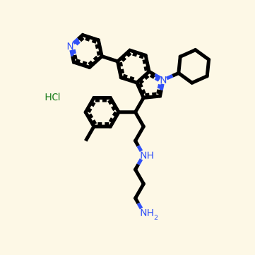 Cc1cccc(C(CCNCCCN)c2cn(C3CCCCC3)c3ccc(-c4ccncc4)cc23)c1.Cl